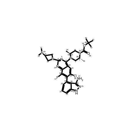 C[C@@H]1CN(c2nc(N3CC(N(C)C)C3)nc3c(F)c(-c4cccc5[nH]nc(N)c45)c(Cl)cc23)[C@@H](C)CN1C(=O)OC(C)(C)C